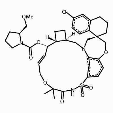 COC[C@@H]1CCCN1C(=O)O[C@H]1/C=C/COC(C)(C)C(=O)NS(=O)(=O)c2ccc3c(c2)N(C[C@@H]2CC[C@H]21)C[C@@]1(CCCc2cc(Cl)ccc21)CO3